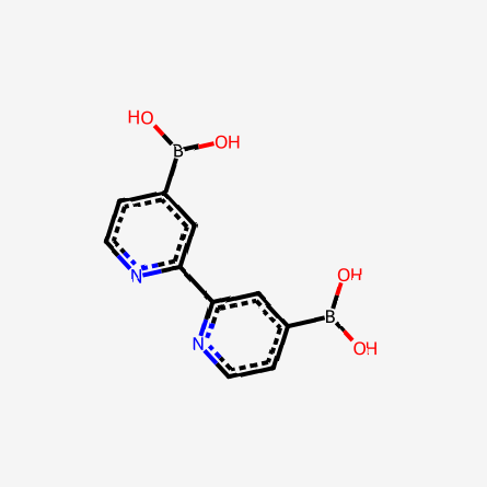 OB(O)c1ccnc(-c2cc(B(O)O)ccn2)c1